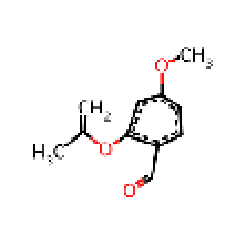 C=C(C)Oc1cc(OC)ccc1C=O